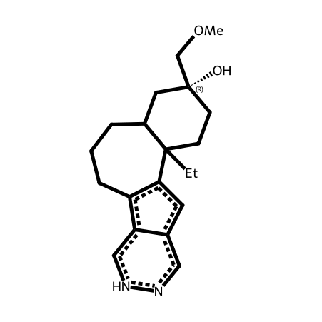 CCC12CC[C@](O)(COC)CC1CCCc1c3c[nH]ncc-3cc12